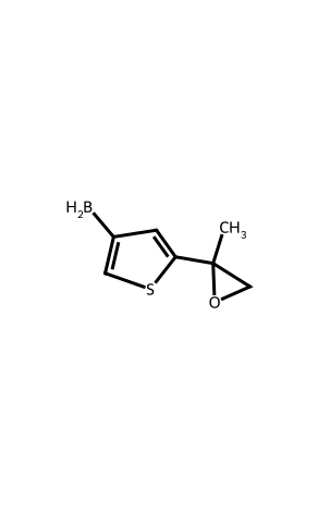 Bc1csc(C2(C)CO2)c1